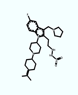 CC(C)=C1CCC(N2CCC(n3c(CCNN[SH](=O)=O)c(CN4CCCC4)c4cc(F)ccc43)CC2)CC1